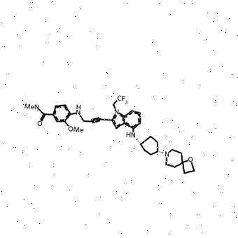 CNC(=O)c1ccc(NCC#Cc2cc3c(N[C@H]4CC[C@@H](N5CCC6(CCO6)CC5)CC4)cccc3n2CC(F)(F)F)c(OC)c1